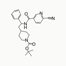 CC(C)(C)OC(=O)N1CCC(CC(NC(=O)c2ccc(C#N)nc2)c2ccccc2)CC1